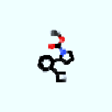 CC(C)(C)OC(=O)N1CCC[C@H]1c1ccccc1C1CCC1